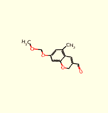 COCOc1cc(C)c2c(c1)OCC(C=O)=C2